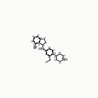 CCc1cc(NC2CCc3cccc(Br)c32)ccc1C1CCNCC1